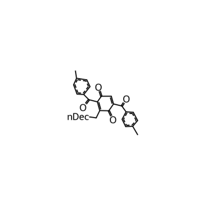 CCCCCCCCCCCC1=C(C(=O)c2ccc(C)cc2)C(=O)C=C(C(=O)c2ccc(C)cc2)C1=O